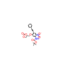 CC(C)(C)OC(=O)Nc1cc(OCC2COC(=O)O2)c(C#Cc2ccccc2)cc1[N+](=O)[O-]